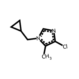 Cc1c(Cl)ncn1CC1CC1